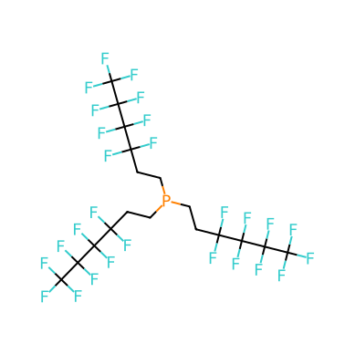 FC(F)(F)C(F)(F)C(F)(F)C(F)(F)CCP(CCC(F)(F)C(F)(F)C(F)(F)C(F)(F)F)CCC(F)(F)C(F)(F)C(F)(F)C(F)(F)F